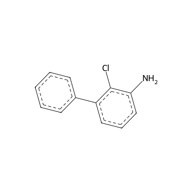 Nc1cccc(-c2ccccc2)c1Cl